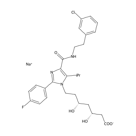 CC(C)c1c(C(=O)NCCc2cccc(Cl)c2)nc(-c2ccc(F)cc2)n1CC[C@@H](O)C[C@@H](O)CC(=O)[O-].[Na+]